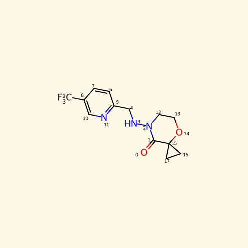 O=C1N(NCc2ccc(C(F)(F)F)cn2)CCOC12CC2